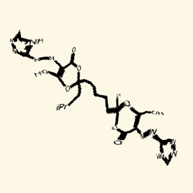 CCC1(CCCCC2(CC(C)C)OC(=O)C(N=Nc3nnc[nH]3)=C(O)O2)OC(=O)C(N=Nc2nnc[nH]2)=C(O)O1